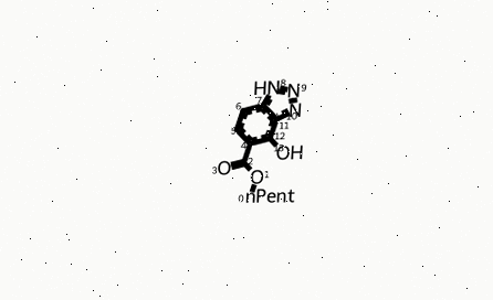 CCCCCOC(=O)c1ccc2[nH]nnc2c1O